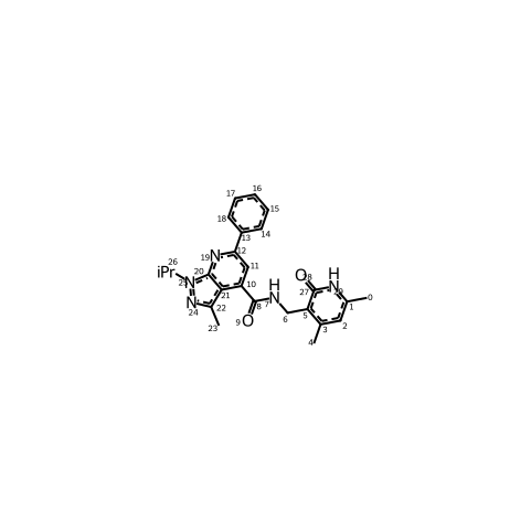 Cc1cc(C)c(CNC(=O)c2cc(-c3ccccc3)nc3c2c(C)nn3C(C)C)c(=O)[nH]1